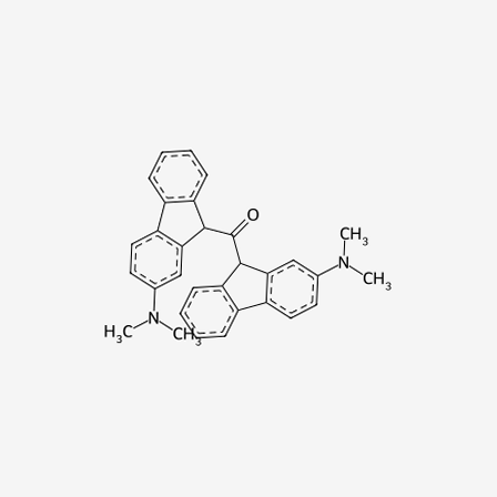 CN(C)c1ccc2c(c1)C(C(=O)C1c3ccccc3-c3ccc(N(C)C)cc31)c1ccccc1-2